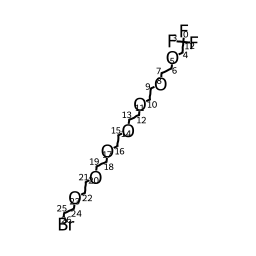 FC(F)(F)COCCOCCOCCOCCOCCOCCOCCBr